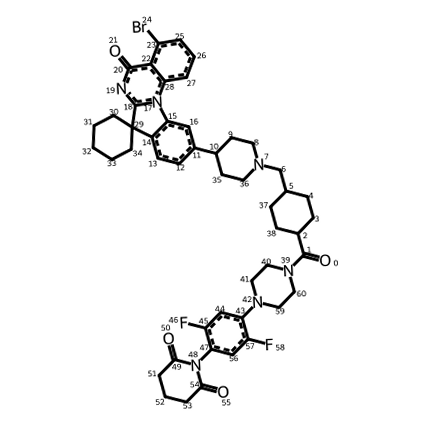 O=C(C1CCC(CN2CCC(c3ccc4c(c3)-n3c(nc(=O)c5c(Br)cccc53)C43CCCCC3)CC2)CC1)N1CCN(c2cc(F)c(N3C(=O)CCCC3=O)cc2F)CC1